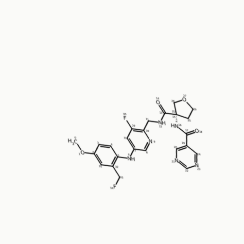 COc1ccc(Nc2cnc(CNC(=O)[C@]3(NC(=O)c4cncnc4)CCOC3)c(F)c2)c(CF)c1